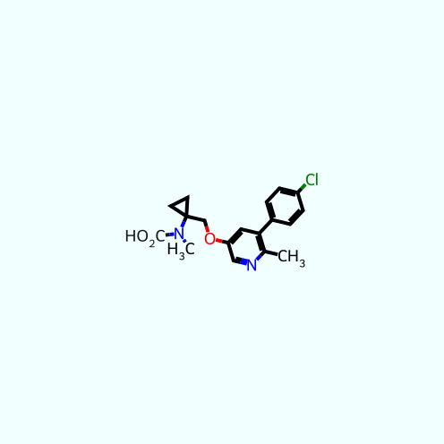 Cc1ncc(OCC2(N(C)C(=O)O)CC2)cc1-c1ccc(Cl)cc1